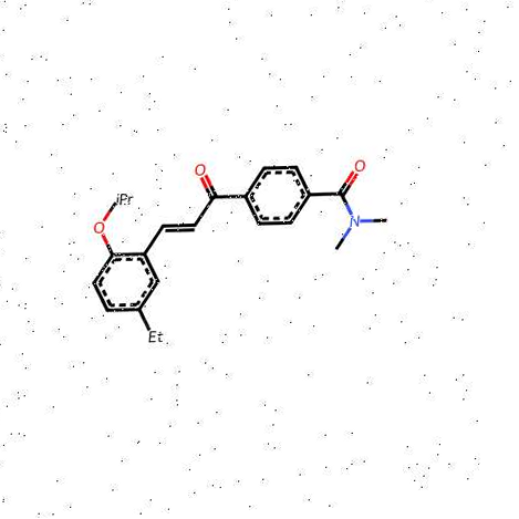 CCc1ccc(OC(C)C)c(C=CC(=O)c2ccc(C(=O)N(C)C)cc2)c1